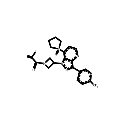 C=C(F)C(=O)N1CC(n2nc(-c3ccc(C(F)(F)F)nc3)c3nccc(P4(=O)CCCC4)c32)C1